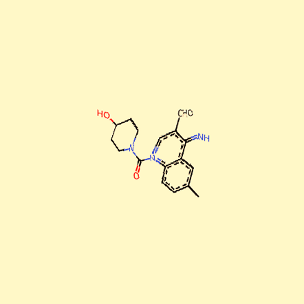 Cc1ccc2c(c1)c(=N)c(C=O)cn2C(=O)N1CCC(O)CC1